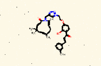 COc1cccc(/C=C/C(=O)c2ccc(OCCn3cc(CN4C(=O)/C=C/C(C)(C)C/C=C(\C)CC/C=C/4C)nn3)cc2O)c1